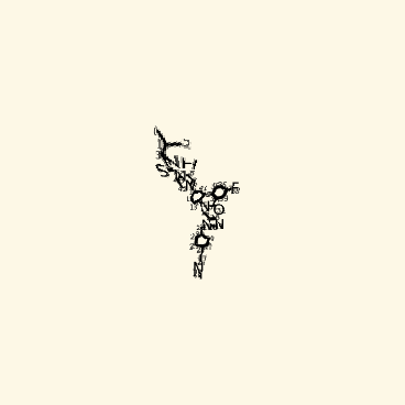 CC(C)CNC(=S)N1CCN(c2ccc(N(Cc3cncn3Cc3ccc(C#N)cc3)C(=O)c3cccc(F)c3)cc2)CC1